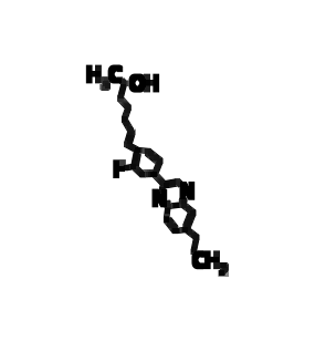 C=CCc1ccc2nc(-c3ccc(C=CCCCC(C)O)c(F)c3)cnc2c1